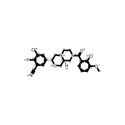 COc1cccc(C(=O)N2CCN3C[C@@H](c4cc(Cl)c(F)c(C#N)c4)OC[C@@H]3C2)c1Cl